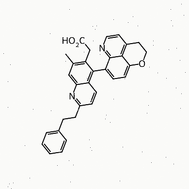 Cc1cc2nc(CCc3ccccc3)ccc2c(-c2ccc3c4c(ccnc24)CCO3)c1CC(=O)O